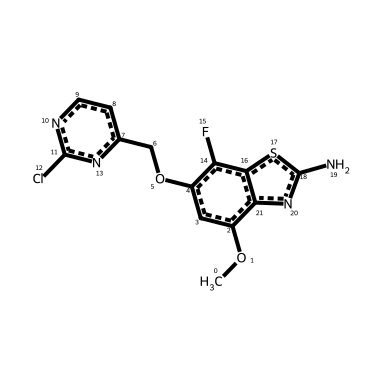 COc1cc(OCc2ccnc(Cl)n2)c(F)c2sc(N)nc12